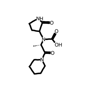 C[C@@H](C(=O)N1CCCCC1)N(C(=O)O)C1CCNC1=O